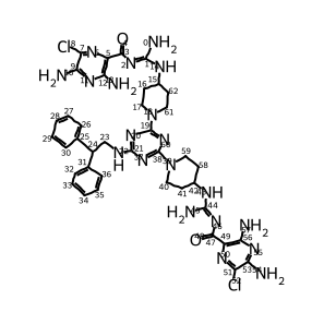 N/C(=N\C(=O)c1nc(Cl)c(N)nc1N)NC1CCN(c2nc(NCC(c3ccccc3)c3ccccc3)nc(N3CCC(N/C(N)=N/C(=O)c4nc(Cl)c(N)nc4N)CC3)n2)CC1